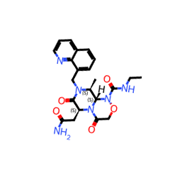 CCNC(=O)N1OCC(=O)N2[C@@H]1[C@H](C)N(Cc1cccc3cccnc13)C(=O)[C@@H]2CC(N)=O